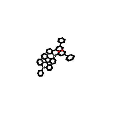 c1ccc(-c2cccc(-c3ccccc3N(c3cccc(-c4ccccc4)c3)c3cccc4c3-c3ccccc3C43c4ccccc4N(c4ccccc4)c4ccccc43)c2)cc1